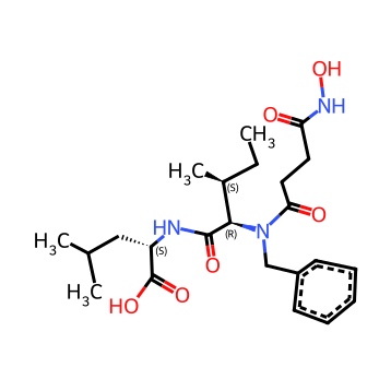 CC[C@H](C)[C@H](C(=O)N[C@@H](CC(C)C)C(=O)O)N(Cc1ccccc1)C(=O)CCC(=O)NO